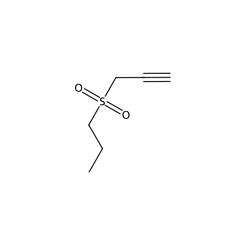 C#CCS(=O)(=O)CCC